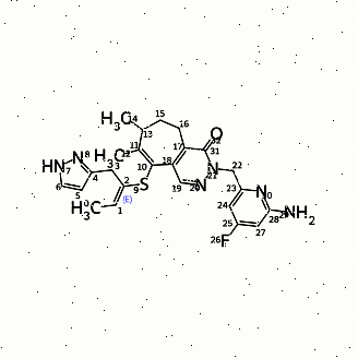 C/C=C(\Cc1cc[nH]n1)SC1=C(C)C(C)CCc2c1cnn(Cc1cc(F)cc(N)n1)c2=O